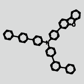 c1ccc(-c2ccc(-c3ccc(N(c4ccc(-c5cccc(-c6ccccc6)c5)cc4)c4ccc(-c5ccc6c(c5)oc5ccccc56)cc4)cc3)cc2)cc1